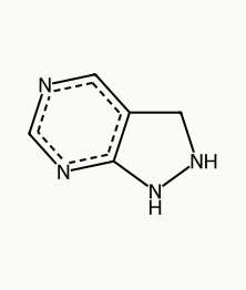 c1ncc2c(n1)NNC2